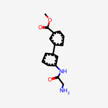 COC(=O)c1cccc(-c2cccc(NC(=O)CN)c2)c1